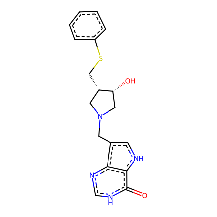 O=c1[nH]cnc2c(CN3C[C@H](CSc4ccccc4)[C@H](O)C3)c[nH]c12